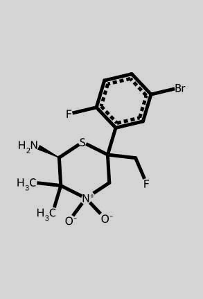 CC1(C)[C@@H](N)SC(CF)(c2cc(Br)ccc2F)C[N+]1([O-])[O-]